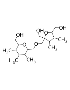 CC1C(CO)OC(COCC2(CO)OC(CO)C(C)C2C)C(C)C1C